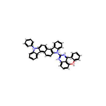 c1ccc(-n2c3ccccc3c3c4ccc5c(c4ccc32)c2ccccc2n5-c2nc3c4c(cccc4n2)Oc2ccccc2-3)cc1